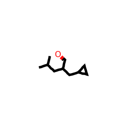 CC(C)CC(C=O)CC1CC1